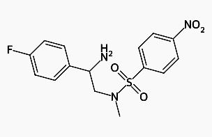 CN(CC(N)c1ccc(F)cc1)S(=O)(=O)c1ccc([N+](=O)[O-])cc1